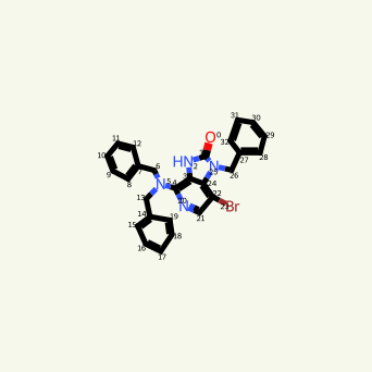 O=c1[nH]c2c(N(Cc3ccccc3)Cc3ccccc3)ncc(Br)c2n1Cc1ccccc1